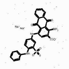 Nc1c(C(=O)[O-])cc(Nc2ccc(Nc3ccccc3)c(S(=O)(=O)[O-])c2)c2c1C(=O)c1ccccc1C2=O.[Na+].[Na+]